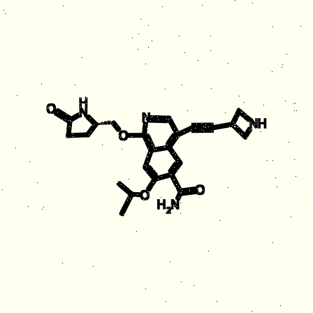 CC(C)Oc1cc2c(OC[C@@H]3CCC(=O)N3)ncc(C#CC3CNC3)c2cc1C(N)=O